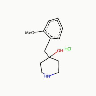 COc1ccccc1CC1(O)CCNCC1.Cl